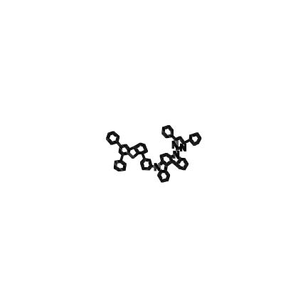 c1ccc(-c2cc(-c3ccccc3)c3c(c2)-c2cccc(-c4cccc(-n5c6ccccc6c6c7c8ccccc8n(-c8nc(-c9ccccc9)cc(-c9ccccc9)n8)c7ccc65)c4)c2C3)cc1